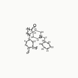 O=C1N=CN(c2ccc(F)c(F)c2)C12CCN(Cc1ccccc1)CC2